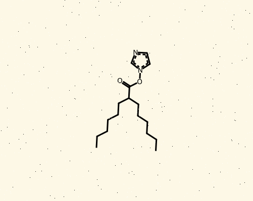 CCCCCCC(CCCCCC)C(=O)On1ccnc1